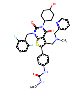 CONC(=O)Nc1ccc(-c2sc3c(c2CN(C)Cc2ccccn2)c(=O)n(C2CCC(O)CC2)c(=O)n3Cc2c(F)cccc2F)cc1